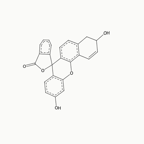 O=C1OC2(c3ccc(O)cc3Oc3c2ccc2c3C=CC(O)C2)c2ccccc21